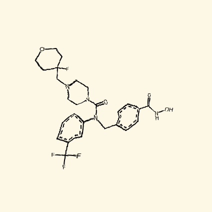 O=C(NO)c1ccc(CN(C(=O)N2CCN(CC3(F)CCOCC3)CC2)c2cccc(C(F)(F)F)c2)cc1